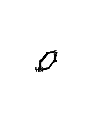 [C]1CNC=CS1